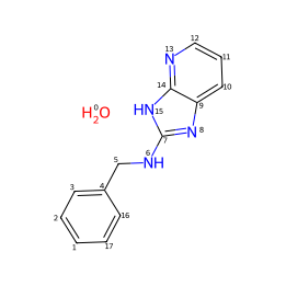 O.c1ccc(CNc2nc3cccnc3[nH]2)cc1